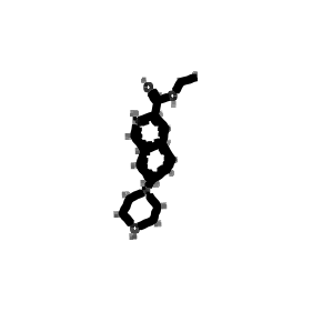 CCOC(=O)c1cc2ccc(N3CCOCC3)cc2cn1